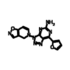 Nc1nc(-c2ccco2)c2nnn(N3C=Cc4oncc4C3)c2n1